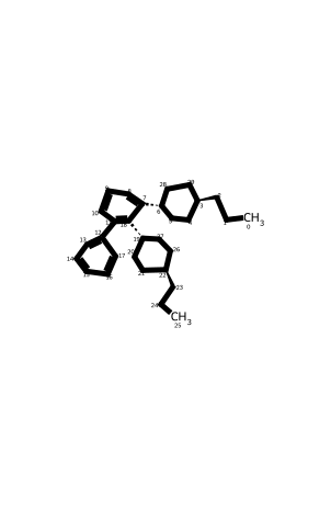 CCC[C@H]1CC[C@H](c2cccc(-c3ccccc3)c2[C@H]2CC[C@H](CCC)CC2)CC1